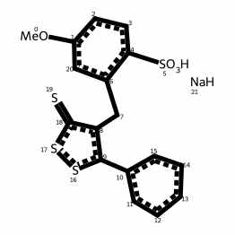 COc1ccc(S(=O)(=O)O)c(Cc2c(-c3ccccc3)ssc2=S)c1.[NaH]